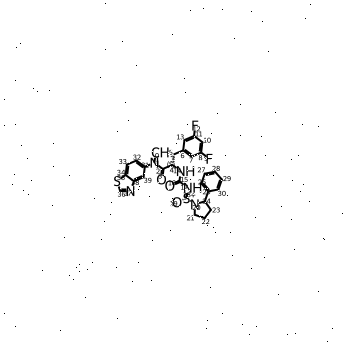 CN(C(=O)[C@H](Cc1cc(F)cc(F)c1)NC(=O)N[S+]([O-])N1CCCC1c1ccccc1)c1ccc2scnc2c1